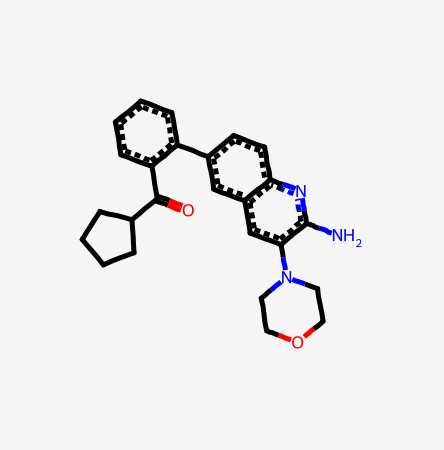 Nc1nc2ccc(-c3ccccc3C(=O)C3CCCC3)cc2cc1N1CCOCC1